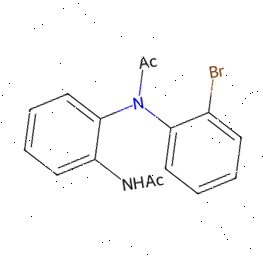 CC(=O)Nc1ccccc1N(C(C)=O)c1ccccc1Br